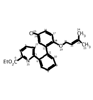 CCOC(=O)c1cccc(-c2ccccc2-c2cc(Cl)ccc2OCC=C(C)C)n1